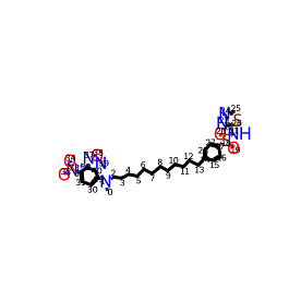 CN(CCCCCCCCCCCCc1ccc(S(=O)(=O)Nc2nncs2)cc1)c1ccc([N+](=O)[O-])c2nonc12